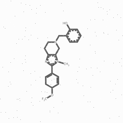 Cn1c(C2=CCC(OC(F)(F)F)C=C2)nc2c1CN(Cc1ccccc1O)CC2